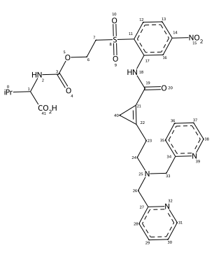 CC(C)C(NC(=O)OCCS(=O)(=O)c1ccc([N+](=O)[O-])cc1NC(=O)C1=C(CCN(Cc2ccccn2)Cc2ccccn2)C1)C(=O)O